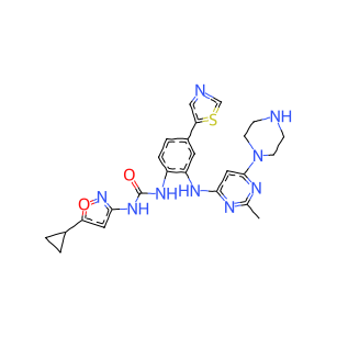 Cc1nc(Nc2cc(-c3cncs3)ccc2NC(=O)Nc2cc(C3CC3)on2)cc(N2CCNCC2)n1